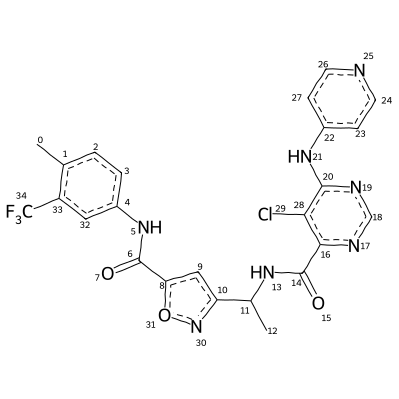 Cc1ccc(NC(=O)c2cc(C(C)NC(=O)c3ncnc(Nc4ccncc4)c3Cl)no2)cc1C(F)(F)F